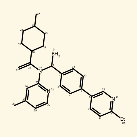 BC(c1ccc(-c2ccc(CC)nc2)cc1)N(C(=C)C1CCC(C)CC1)c1cc(C)ccn1